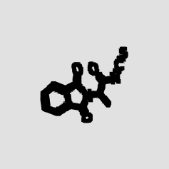 CC(C(=O)N=C=S)N1C(=O)c2ccccc2C1=O